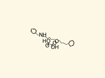 O=C(O)C(=O)O.c1ccc(CCCCOCCCCCCNCc2ccccc2)cc1